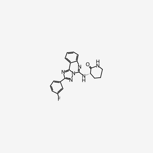 O=C1NCCC[C@@H]1Nc1nc2ccccc2c2nc(-c3cccc(F)c3)nn12